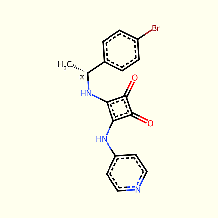 C[C@@H](Nc1c(Nc2ccncc2)c(=O)c1=O)c1ccc(Br)cc1